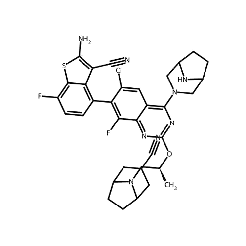 C[C@@H](CN1C2CCC1CC(C#N)C2)Oc1nc(N2CC3CCC(C2)N3)c2cc(Cl)c(-c3ccc(F)c4sc(N)c(C#N)c34)c(F)c2n1